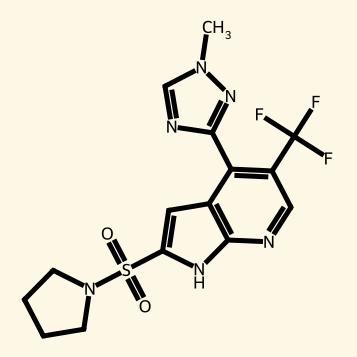 Cn1cnc(-c2c(C(F)(F)F)cnc3[nH]c(S(=O)(=O)N4CCCC4)cc23)n1